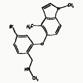 CNCc1ccc(Br)cc1Oc1ccc2c(ccn2C)c1C